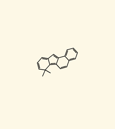 CC1(C)C=CC=C2C=c3c(ccc4ccccc34)=C21